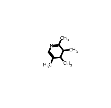 CC1=CN=C(C)C(C)C1C